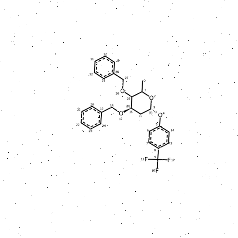 CC1O[C@H](Oc2ccc(C(F)(F)F)cc2)C[C@@H](OCc2ccccc2)C1OCc1ccccc1